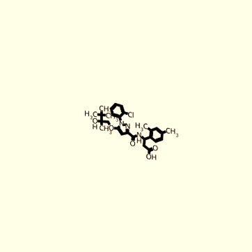 Cc1ccc(C(CC(=O)O)NC(=O)c2cc(OCC(C)(O)C(C)(C)C)n(-c3ccccc3Cl)n2)c(C)c1